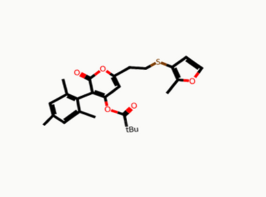 Cc1cc(C)c(-c2c(OC(=O)C(C)(C)C)cc(CCSc3ccoc3C)oc2=O)c(C)c1